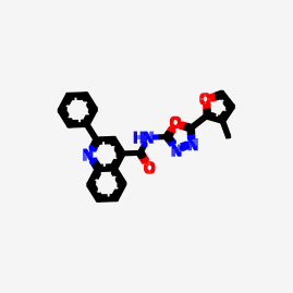 Cc1ccoc1-c1nnc(NC(=O)c2cc(-c3ccccc3)nc3ccccc23)o1